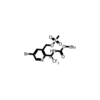 CC(C)(C)OC(=O)N[C@H](c1ncc(Br)cc1COS(C)(=O)=O)C(F)(F)F